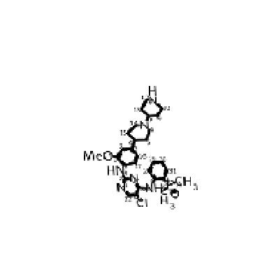 COc1cc(C2CCN(C3CCNCC3)CC2)ccc1Nc1ncc(Cl)c(Nc2ccccc2P(C)(C)=O)n1